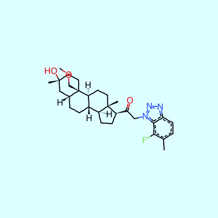 COC[C@]12CC[C@@](C)(O)C[C@H]1CC[C@H]1[C@@H]3CC[C@H](C(=O)Cn4nnc5ccc(C)c(F)c54)[C@@]3(C)CC[C@@H]12